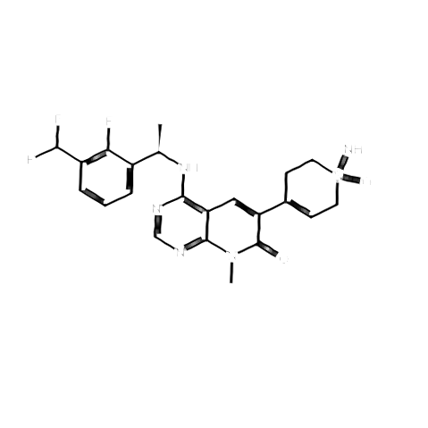 C[C@@H](Nc1ncnc2c1cc(C1=CCS(=N)(=O)CC1)c(=O)n2C)c1cccc(C(F)F)c1F